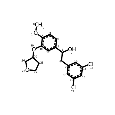 COc1ccc(C(O)Cc2cc(Cl)cc(Cl)c2)cc1OC1CCOC1